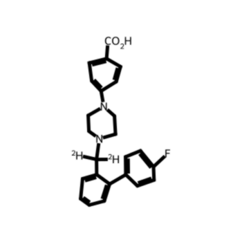 [2H]C([2H])(c1ccccc1-c1ccc(F)cc1)N1CCN(c2ccc(C(=O)O)cc2)CC1